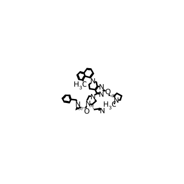 Cc1cccc2cccc(N3CCc4c(nc(OC[C@@H]5CCCN5C)nc4N4CCN(C(=O)[C@@H]5CN5Cc5ccccc5)[C@@H](CC#N)C4)C3)c12